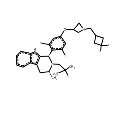 C[C@@H]1Cc2c([nH]c3ccccc23)[C@@H](c2c(F)cc(OC3CN(CC4CC(F)(F)C4)C3)cc2F)N1CC(C)(C)F